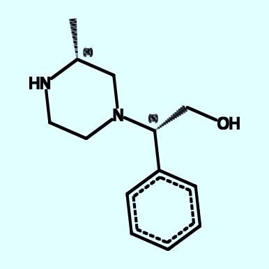 C[C@@H]1CN([C@H](CO)c2ccccc2)CCN1